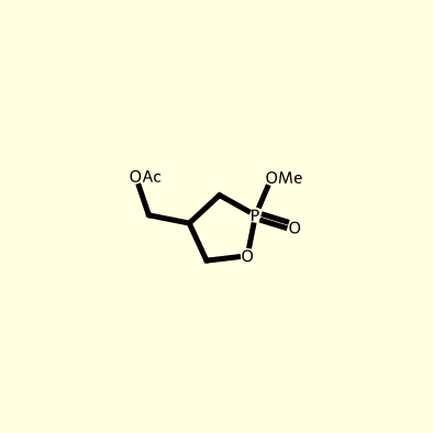 COP1(=O)CC(COC(C)=O)CO1